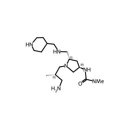 CNC(=O)N[C@@H]1C[C@@H](CNCC2CCNCC2)N(C[C@@H](C)CN)C1